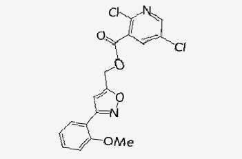 COc1ccccc1-c1cc(COC(=O)c2cc(Cl)cnc2Cl)on1